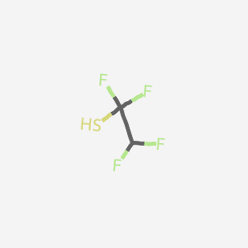 FC(F)C(F)(F)S